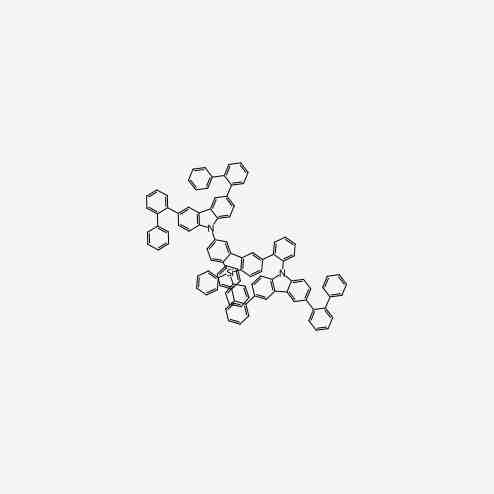 c1ccc(-c2ccccc2-c2ccc3c(c2)c2cc(-c4ccccc4-c4ccccc4)ccc2n3-c2ccc3c(c2)-c2cc(-c4ccccc4-n4c5ccc(-c6ccccc6-c6ccccc6)cc5c5cc(-c6ccccc6-c6ccccc6)ccc54)ccc2[Si]3(c2ccccc2)c2ccccc2)cc1